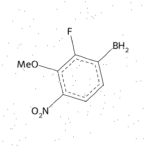 Bc1ccc([N+](=O)[O-])c(OC)c1F